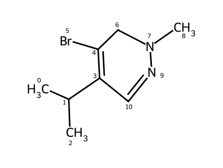 CC(C)C1=C(Br)CN(C)N=C1